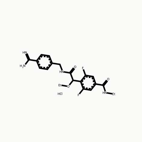 CCNC(=O)c1cc(F)c(C(OCC)C(=O)NCc2ccc(C(=N)N)cc2)c(F)c1.Cl